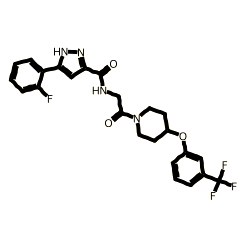 O=C(NCC(=O)N1CCC(Oc2cccc(C(F)(F)F)c2)CC1)c1cc(-c2ccccc2F)[nH]n1